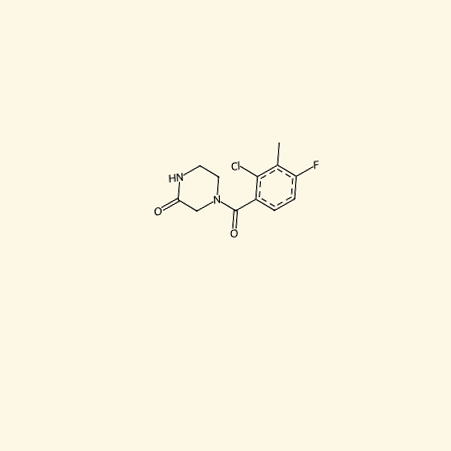 Cc1c(F)ccc(C(=O)N2CCNC(=O)C2)c1Cl